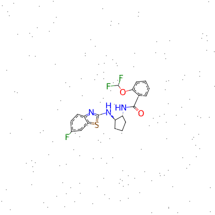 O=C(N[C@@H]1CCC[C@H]1Nc1nc2ccc(F)cc2s1)c1ccccc1OC(F)F